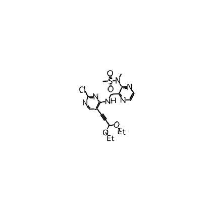 CCOC(C#Cc1cnc(Cl)nc1NCc1nccnc1N(C)S(C)(=O)=O)OCC